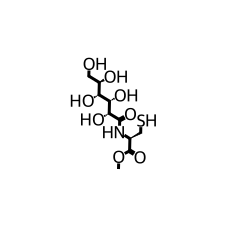 COC(=O)[C@H](CS)NC(=O)[C@H](O)[C@@H](O)[C@H](O)[C@H](O)CO